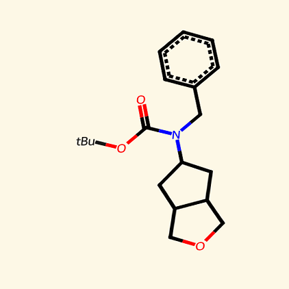 CC(C)(C)OC(=O)N(Cc1ccccc1)C1CC2COCC2C1